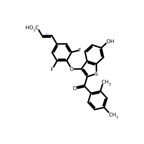 Cc1ccc(C(=O)c2sc3cc(O)ccc3c2Oc2c(F)cc(/C=C/C(=O)O)cc2F)c(C)c1